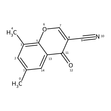 Cc1cc(C)c2occ(C#N)c(=O)c2c1